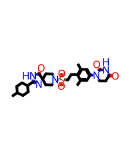 Cc1cc(N2CCC(=O)NC2=O)cc(C)c1CCS(=O)(=O)N1CCC2(CC1)N=C(C1CCC(C)CC1)NC2=O